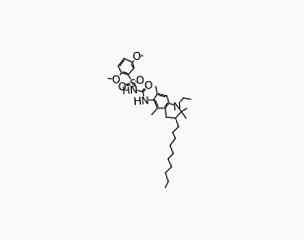 CCCCCCCCCCC1Cc2c(cc(C)c(NC(=O)NS(=O)(=O)c3cc(OC)ccc3OC)c2C)N(CC)C1(C)C